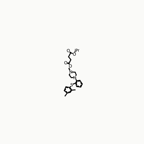 Cc1ccc(Sc2ccccc2N2CCN(COC(=O)CCC(=O)OC(C)C)CC2)c(C)c1